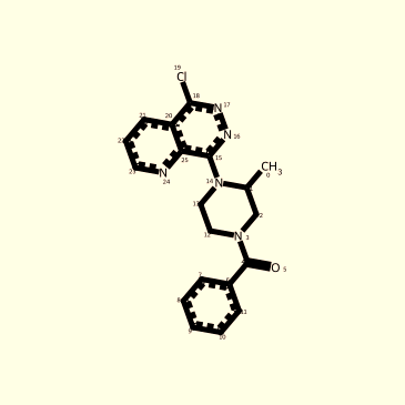 CC1CN(C(=O)c2ccccc2)CCN1c1nnc(Cl)c2cccnc12